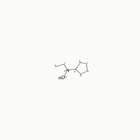 CCN(O)C1CCCC1